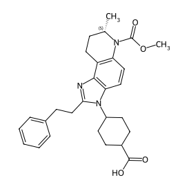 COC(=O)N1c2ccc3c(nc(CCc4ccccc4)n3C3CCC(C(=O)O)CC3)c2CC[C@@H]1C